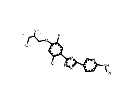 CC(C)Nc1ccc(-c2nnc(-c3cc(F)c(OC[C@H](N)[C@@H](C)O)cc3Cl)s2)cn1